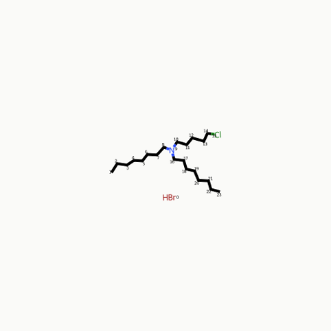 Br.CCCCCCCCN(CCCCCCl)CCCCCCCC